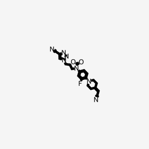 N#CC=C1CCN(c2ccc(N3CC(Cn4cc(C#N)nn4)OC3=O)cc2F)CC1